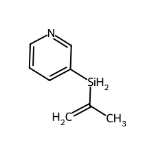 C=C(C)[SiH2]c1cccnc1